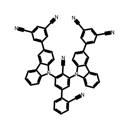 N#Cc1cc(C#N)cc(-c2ccc3c(c2)c2ccccc2n3-c2cc(-c3ccccc3C#N)cc(-n3c4ccccc4c4cc(-c5cc(C#N)cc(C#N)c5)ccc43)c2C#N)c1